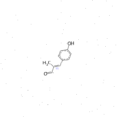 C/C([C]=O)=C\c1ccc(O)cc1